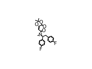 CN(C(=O)C=C1OC(C)(C)OC1=O)C(Cc1ccc(F)cc1)c1ccc(F)cc1